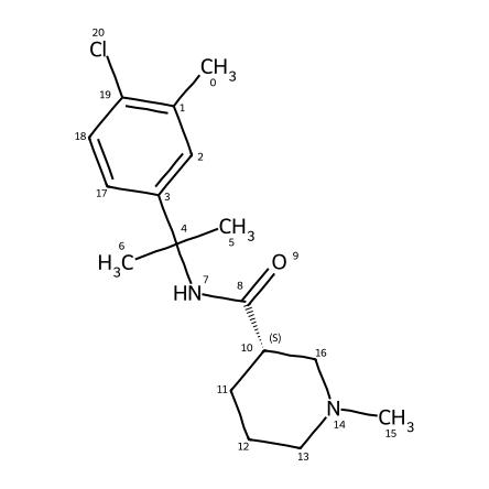 Cc1cc(C(C)(C)NC(=O)[C@H]2CCCN(C)C2)ccc1Cl